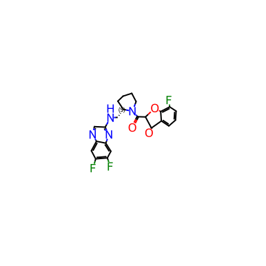 O=C1c2cccc(F)c2OC1C(=O)N1CCCC[C@H]1CNc1cnc2cc(F)c(F)cc2n1